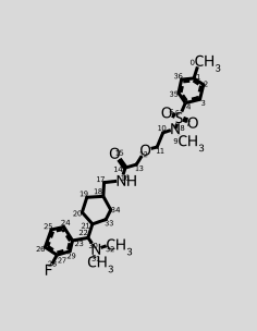 Cc1ccc(S(=O)(=O)N(C)CCOCC(=O)NCC2CCC(C(c3cccc(F)c3)N(C)C)CC2)cc1